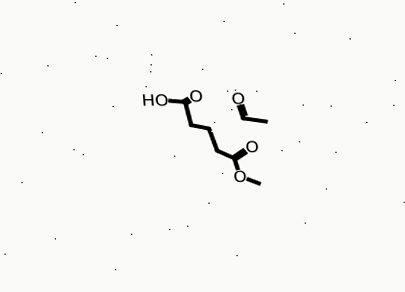 CC=O.COC(=O)CCCC(=O)O